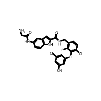 N#Cc1cc(Cl)cc(Oc2c(Cl)ccc(CNC(=O)c3cc4cc(NC(=O)CN)ccc4[nH]3)c2F)c1